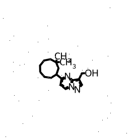 CC1(C)CCCCCCC(c2ccn3ncc(CO)c3n2)C1